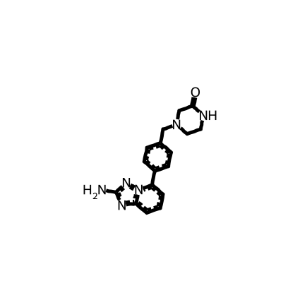 Nc1nc2cccc(-c3ccc(CN4CCNC(=O)C4)cc3)n2n1